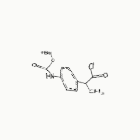 CC(C(=O)Cl)c1ccc(NC(=O)OC(C)(C)C)cc1